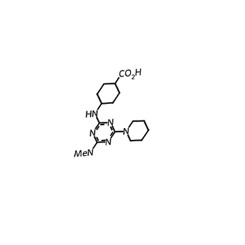 CNc1nc(NC2CCC(C(=O)O)CC2)nc(N2CCCCC2)n1